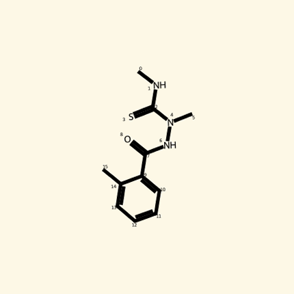 CNC(=S)N(C)NC(=O)c1ccccc1C